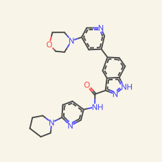 O=C(Nc1ccc(N2CCCCC2)nc1)c1n[nH]c2ccc(-c3cncc(N4CCOCC4)c3)cc12